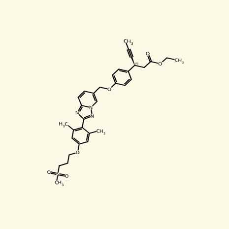 CC#C[C@@H](CC(=O)OCC)c1ccc(OCc2ccc3nc(-c4c(C)cc(OCCCS(C)(=O)=O)cc4C)nn3c2)cc1